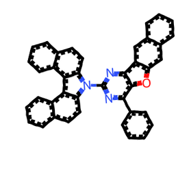 c1ccc(-c2nc(-n3c4ccc5ccccc5c4c4c5ccccc5ccc43)nc3c2oc2cc4ccccc4cc23)cc1